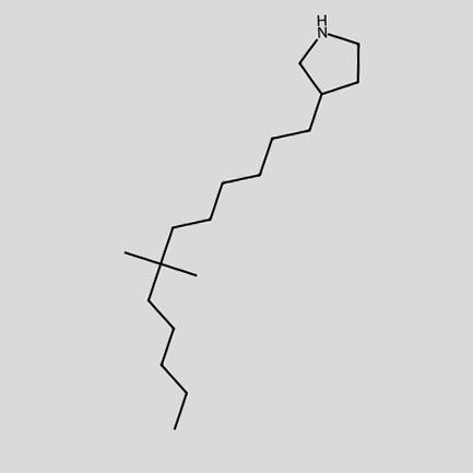 CCCCCC(C)(C)CCCCCCC1CCNC1